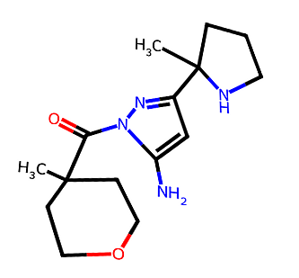 CC1(C(=O)n2nc(C3(C)CCCN3)cc2N)CCOCC1